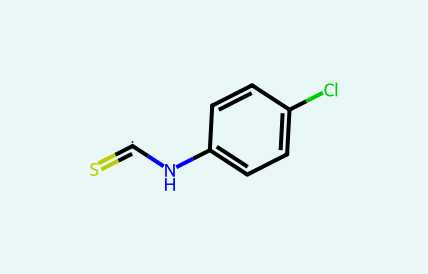 S=[C]Nc1ccc(Cl)cc1